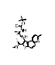 COC(=O)c1sc2ccc3nc(C)ccc3c2c1NC[C@@H](C)NC(=O)OC(C)(C)C